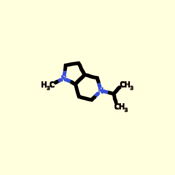 CC(C)N1CCC2C(CCN2C)C1